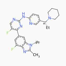 CC[C@H](c1ccc(Nc2ncc(F)c(-c3cc(F)c4nc(C)n(C(C)C)c4c3)n2)nc1)N1CCCCC1